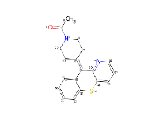 CC(=O)N1CCC(=C2c3ccccc3Sc3cccnc32)CC1